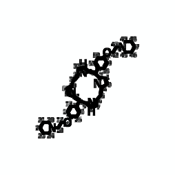 C1=Cc2nc1cc1ccc([nH]1)c(-c1ccc(OCCN3CCCCC3)cc1)c1nc(cc3ccc([nH]3)c2-c2ccc(OCCN3CCCCC3)cc2)C=C1